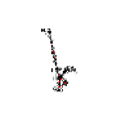 COCCOCCOCCOCCOCCOCCOCCOCCOCC(=O)NCCCC[C@H](NC(=O)CCC(=O)N(CCN1C(=O)C=CC1=O)CCN1C(=O)C=CC1=O)C(=O)NCCCC(=O)OC(C)(C)C